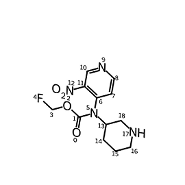 O=C(OCF)N(c1ccncc1[N+](=O)[O-])C1CCCNC1